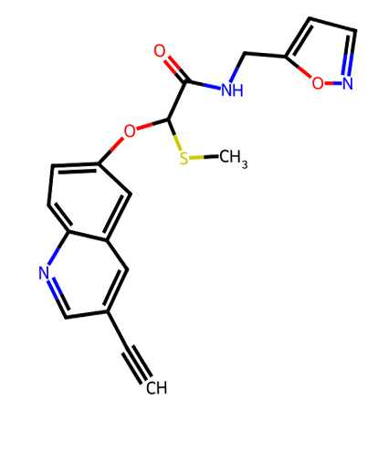 C#Cc1cnc2ccc(OC(SC)C(=O)NCc3ccno3)cc2c1